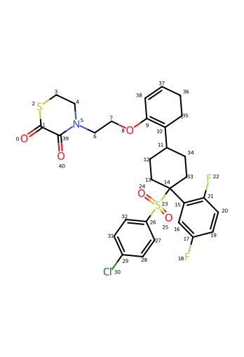 O=C1SCCN(CCOC2=C(C3CCC(c4cc(F)ccc4F)(S(=O)(=O)c4ccc(Cl)cc4)CC3)[CH]CC=C2)C1=O